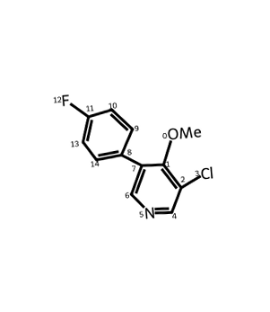 COc1c(Cl)cncc1-c1ccc(F)cc1